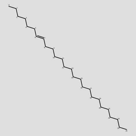 CCCCCCC=CCCCCCCCCCCCCCCCCCC